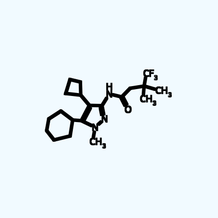 Cn1nc(NC(=O)CC(C)(C)C(F)(F)F)c(C2CCC2)c1C1CCCCC1